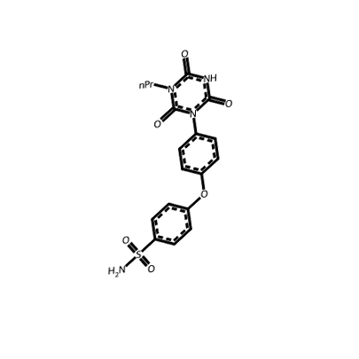 CCCn1c(=O)[nH]c(=O)n(-c2ccc(Oc3ccc(S(N)(=O)=O)cc3)cc2)c1=O